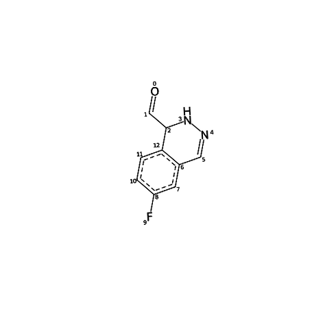 O=CC1NN=Cc2cc(F)ccc21